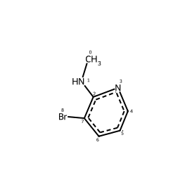 CNc1nc[c]cc1Br